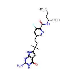 CC(C)(CCc1cnc(C(=O)N[C@@H](CCC(=O)O)C(=O)O)c(F)c1)c1cc2c(=O)[nH]c(N)nc2[nH]1